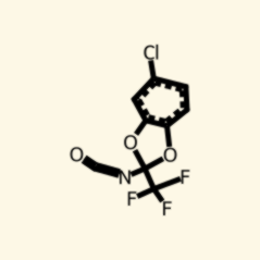 O=C=NC1(C(F)(F)F)Oc2ccc(Cl)cc2O1